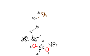 CC(C)O[Si](C)(C)O[Si](C)(CCCS)C(C)C